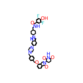 O=C1CC[C@@H](N2Cc3c(OCc4ccc(CN5CCN(c6ccc7cn(C8CCC(CNC(=O)c9cc(F)c(O)c(F)c9)CC8)nc7c6)CC5)cc4)cccc3C2=O)C(=O)N1